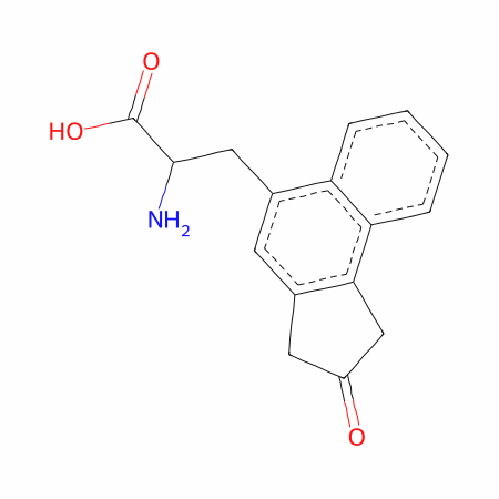 NC(Cc1cc2c(c3ccccc13)CC(=O)C2)C(=O)O